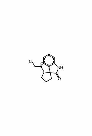 O=C(CCl)C1CCCC12C(=O)Nc1ccccc12